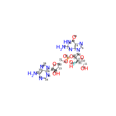 Nc1nc2c(ncn2[C@@H]2O[C@H](CO)[C@@H](F)[C@H]2OP(=O)(O)OC[C@@H]2C[C@@H](O)[C@H](n3cnc4c(N)ncnc43)O2)c(=O)[nH]1